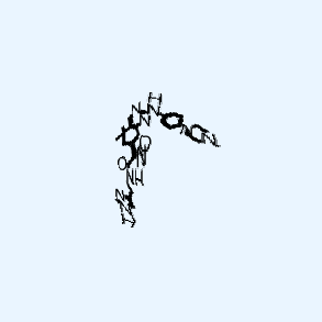 CN1CCN(c2ccc(Nc3ncc4c(n3)-c3onc(C(=O)NCCc5c[nH]cn5)c3CC4(C)C)cc2)CC1